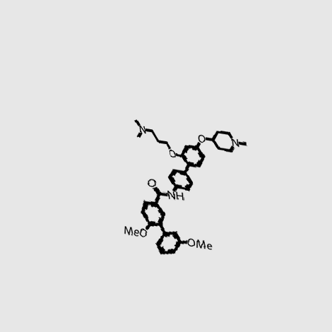 COc1cccc(-c2cc(C(=O)Nc3ccc(-c4ccc(OC5CCN(C)CC5)cc4OCCCN(C)C)cc3)ccc2OC)c1